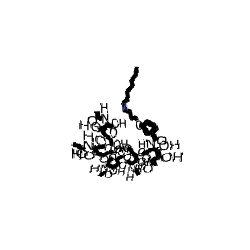 CCCCCC/C=C\CCCOc1cccc(C(=O)NC2C(O[C@@H]3C(CO)OC(OC4C(CO)O[C@@H](O[C@@H]5C(CO)O[C@@H](OC6C(CO)O[C@@H](O)[C@@H](NC(C)=O)[C@H]6O)C(NC(C)=O)C5O)[C@@H](NC(C)=O)[C@H]4O)C(NC(C)=O)C3O)OC(CO)[C@@H](O)C2O)c1